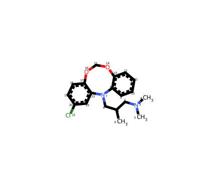 CC(CN(C)C)CN1c2ccccc2OCOc2ccc(Cl)cc21